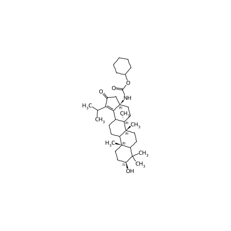 CC(C)C1=C2C3CCC4[C@@]5(C)CC[C@H](O)C(C)(C)C5CC[C@@]4(C)[C@]3(C)CC[C@@]2(NC(=O)OC2CCCCC2)CC1=O